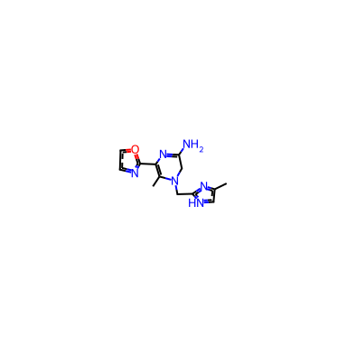 CC1=C(c2ncco2)N=C(N)CN1Cc1nc(C)c[nH]1